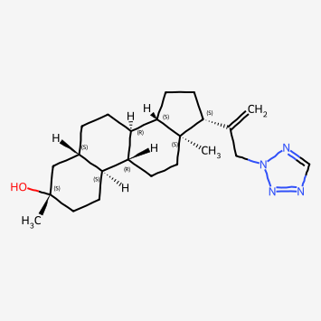 C=C(Cn1ncnn1)[C@H]1CC[C@H]2[C@@H]3CC[C@H]4C[C@@](C)(O)CC[C@@H]4[C@H]3CC[C@]12C